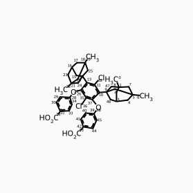 CC12CC3CC(C)(C1)CC(c1c(Cl)c(C45CC6CC(C)(CC(C)(C6)C4)C5)c(Oc4ccc(C(=O)O)cc4)c(Cl)c1Oc1ccc(C(=O)O)cc1)(C3)C2